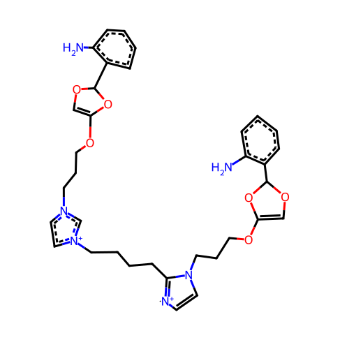 Nc1ccccc1C1OC=C(OCCCN2C=C[N+]=C2CCCC[n+]2ccn(CCCOC3=COC(c4ccccc4N)O3)c2)O1